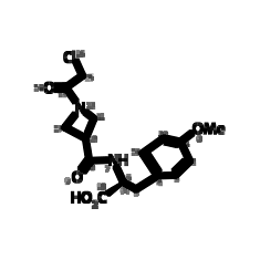 COc1ccc(C[C@H](NC(=O)C2CN(C(=O)CCl)C2)C(=O)O)cc1